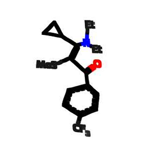 CCN(CC)C(=C(SC)C(=O)c1ccc(C(F)(F)F)cc1)C1CC1